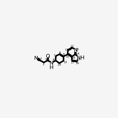 N#CCC(=O)NC1CC=C(c2ccnc3[nH]ccc23)CC1